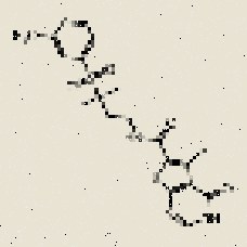 Cc1c(C(=O)NCCC(C)(C)S(=O)(=O)c2cccc(C(F)(F)F)c2)sc2nc[nH]c(=O)c12